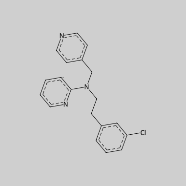 Clc1cccc(CCN(Cc2ccncc2)c2[c]cccn2)c1